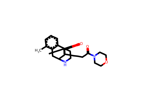 Cc1cccc2c1CC1NCCC23CC(=O)C(CC(=O)N2CCOCC2)CC13